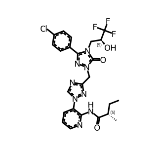 CC[C@H](C)C(=O)Nc1ncccc1-n1cnc(Cn2nc(-c3ccc(Cl)cc3)n(C[C@H](O)C(F)(F)F)c2=O)n1